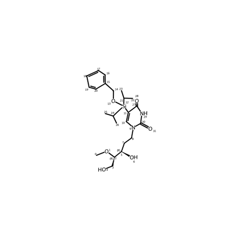 CO[C@H](CO)[C@H](O)CCn1cc([Si](OCc2ccccc2)(C(C)C)C(C)C)c(=O)[nH]c1=O